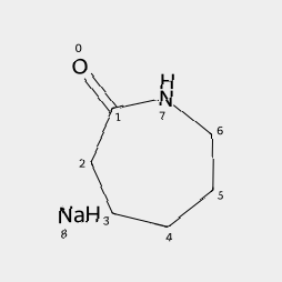 O=C1CCCCCN1.[NaH]